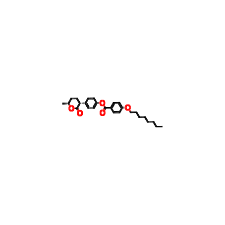 CCCCCCCCOc1ccc(C(=O)Oc2ccc([C@H]3CC[C@H](C)OC3=O)cc2)cc1